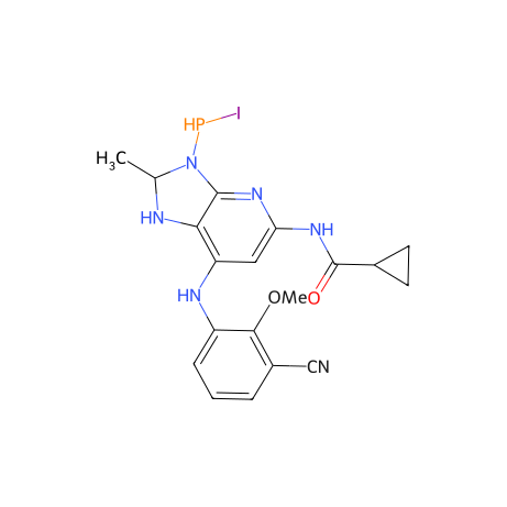 COc1c(C#N)cccc1Nc1cc(NC(=O)C2CC2)nc2c1NC(C)N2PI